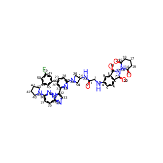 O=C(CNc1ccc2c(c1)C(=O)N(N1C(=O)CCCC1=O)C2=O)NC1CN(c2cccc(-c3cnc4ccc(N5CCC[C@@H]5c5cccc(F)c5)nn34)n2)C1